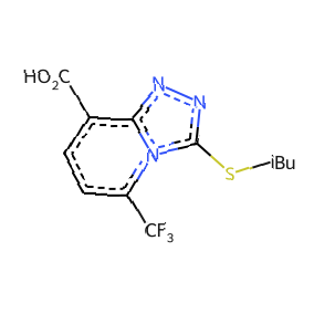 CCC(C)Sc1nnc2c(C(=O)O)ccc(C(F)(F)F)n12